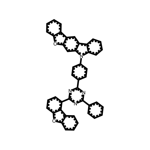 c1ccc(-c2nc(-c3ccc(-n4c5ccccc5c5cc6c(cc54)oc4ccccc46)cc3)nc(-c3cccc4oc5ccccc5c34)n2)cc1